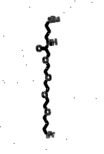 CC(C)CCCOCCOCCOCCOCC(=O)NCCCC(C)(C)C